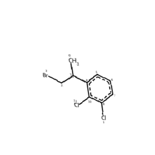 C[C](CBr)c1cccc(Cl)c1Cl